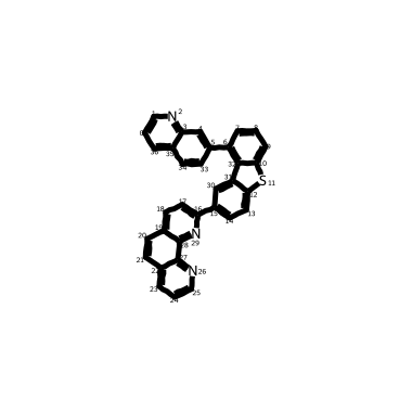 c1cnc2cc(-c3cccc4sc5ccc(-c6ccc7ccc8cccnc8c7n6)cc5c34)ccc2c1